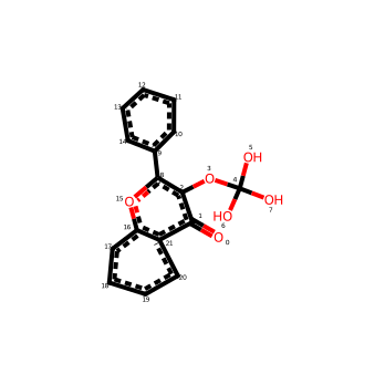 O=c1c(OC(O)(O)O)c(-c2ccccc2)oc2ccccc12